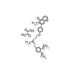 COc1ccc(CCN(C)CCCOc2ccc(-c3cc4ncccc4c(=O)n3C)cc2)cc1OC.O=C(O)C(=O)O